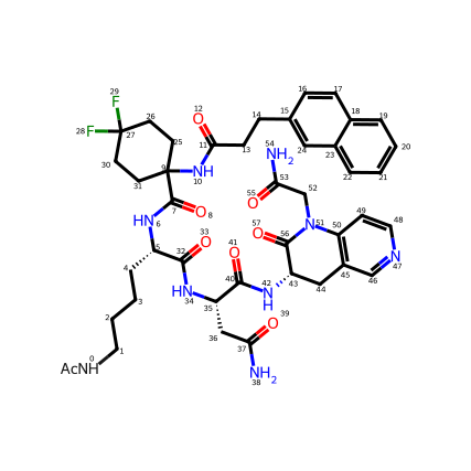 CC(=O)NCCCC[C@H](NC(=O)C1(NC(=O)CCc2ccc3ccccc3c2)CCC(F)(F)CC1)C(=O)N[C@@H](CC(N)=O)C(=O)N[C@H]1Cc2cnccc2N(CC(N)=O)C1=O